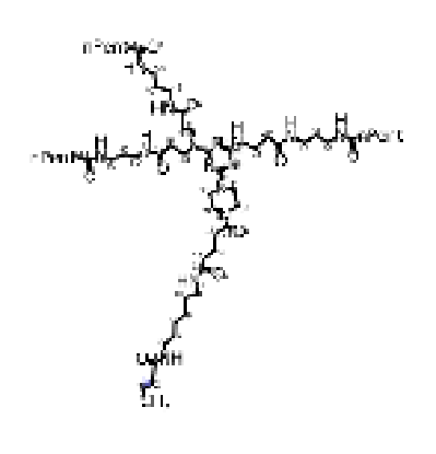 C/C=C/C(=O)NCCCCCCNC(=O)CCCC(=O)N1CCN(c2nc(NCCC(=O)NCCCNC(=O)CCCCC)nc(N(CCC(=O)NCCCNC(=O)CCCCC)CCC(=O)NCCCNC(=O)CCCCC)n2)CC1